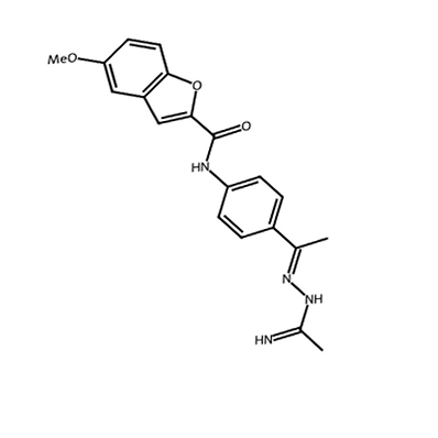 COc1ccc2oc(C(=O)Nc3ccc(/C(C)=N/NC(C)=N)cc3)cc2c1